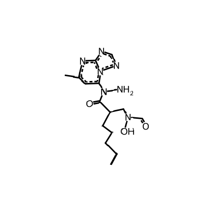 CCCCCC(CN(O)C=O)C(=O)N(N)c1cc(C)nc2ncnn12